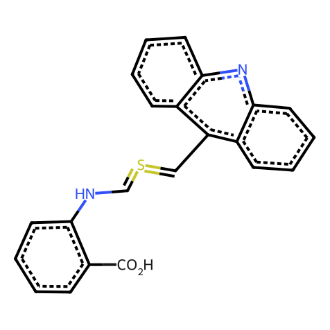 O=C(O)c1ccccc1NC=S=Cc1c2ccccc2nc2ccccc12